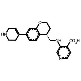 O=C(O)c1ccncc1NC[C@H]1CCOc2cc(C3=CCNCC3)ccc21